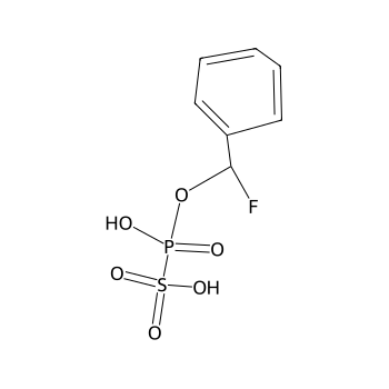 O=P(O)(OC(F)c1ccccc1)S(=O)(=O)O